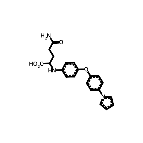 NC(=O)CCC(Nc1ccc(Oc2ccc(-n3cccc3)cc2)cc1)C(=O)O